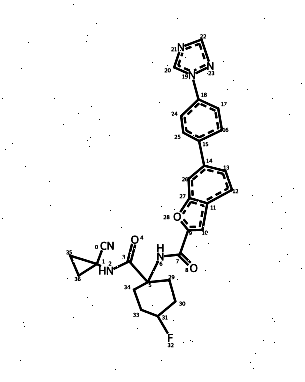 N#CC1(NC(=O)C2(NC(=O)c3cc4ccc(-c5ccc(-n6cncn6)cc5)cc4o3)CCC(F)CC2)CC1